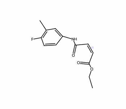 CCOC(=O)/C=C\C(=O)Nc1ccc(F)c(C)c1